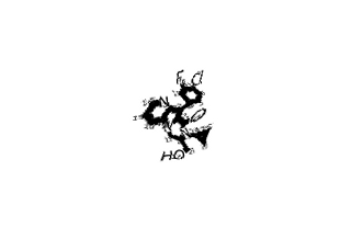 O=C1c2c(-c3ccc(Cl)c(F)c3)c3ncccc3n2CC(CO)N1C1CC1